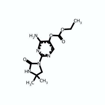 CCOC(=O)Oc1cnc(N2CC(C)(C)NC2=O)nc1N